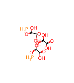 O=C(O)C(=O)O.O=C(O)C(=O)O.O=C(O)C(=O)O.P.P